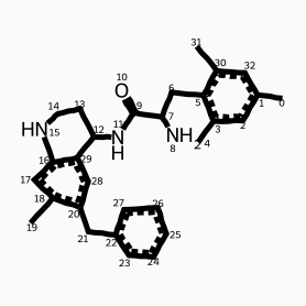 Cc1cc(C)c(CC(N)C(=O)NC2CCNc3cc(C)c(Cc4ccccc4)cc32)c(C)c1